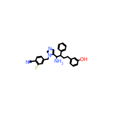 N#Cc1ccc(Cn2cncc2C(N)C(CCc2cccc(O)c2)c2ccccc2)cc1F